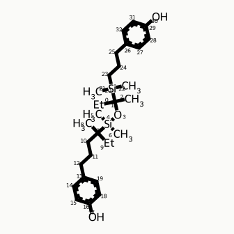 CCC(C)(O[Si](C)(C)C(C)(CC)CCCc1ccc(O)cc1)[Si](C)(C)CCCc1ccc(O)cc1